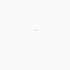 N#Cc1ccc2c(c1)[C@H](c1ccc(F)cc1)N(C(=O)OC1CN3CCC1CC3)CC2